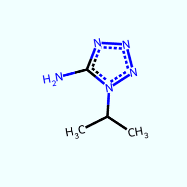 CC(C)n1nnnc1N